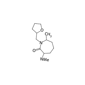 CNC1CCCC(C)N(CC2CCCO2)C1=O